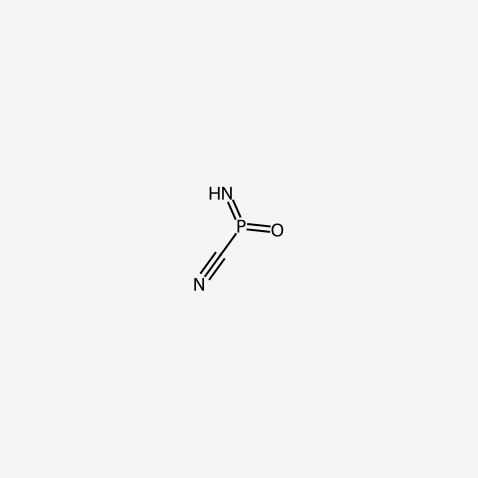 N#CP(=N)=O